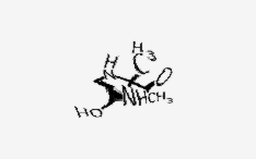 CC(=O)C1(C)NC=C(O)N1